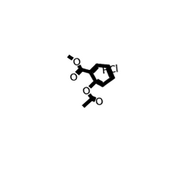 COC(=O)c1ccccc1OC(C)=O.Cl